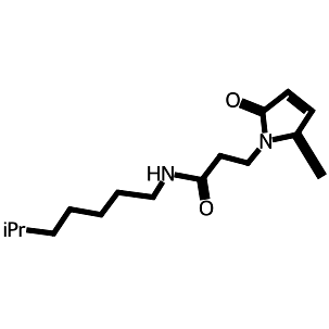 C=C1C=CC(=O)N1CCC(=O)NCCCCCC(C)C